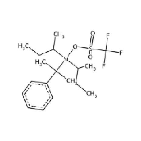 CCC(C)[Si](OS(=O)(=O)C(F)(F)F)(C(C)CC)C(C)(C)c1ccccc1